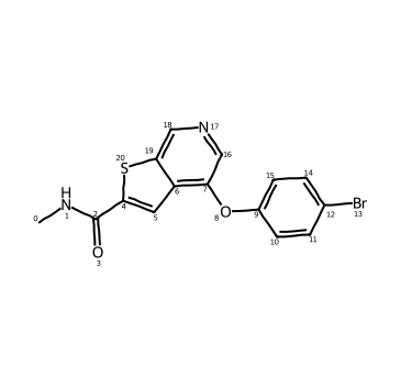 CNC(=O)c1cc2c(Oc3ccc(Br)cc3)cncc2s1